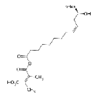 CCCCCC[C@@H](O)C/C=C\CCCCCCCC(=O)OC(=O)/C(C)=C(/C)C(=O)O